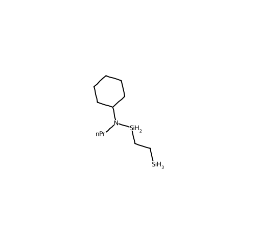 CCCN([SiH2]CC[SiH3])C1CCCCC1